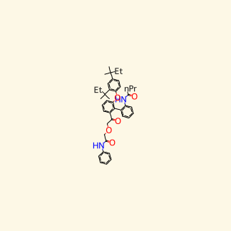 CCCC(=O)Nc1ccccc1-c1c(Oc2ccc(C(C)(C)CC)cc2C(C)(C)CC)cccc1C(=O)COCC(=O)Nc1ccccc1